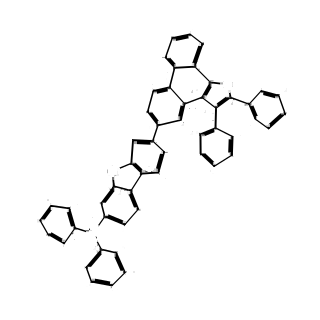 c1ccc(-c2oc3c4ccccc4c4ccc(-c5ccc6c(c5)oc5cc(N(c7ccccc7)c7ccccc7)ccc56)cc4c3c2-c2ccccc2)cc1